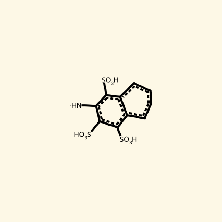 [NH]c1c(S(=O)(=O)O)c(S(=O)(=O)O)c2ccccc2c1S(=O)(=O)O